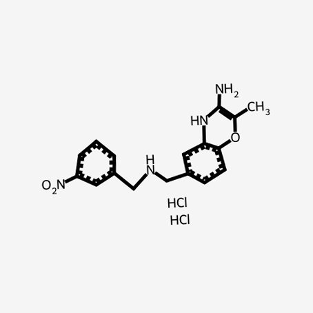 CC1=C(N)Nc2cc(CNCc3cccc([N+](=O)[O-])c3)ccc2O1.Cl.Cl